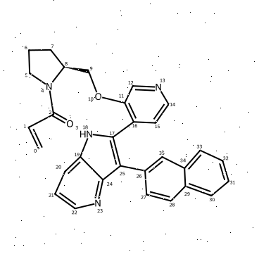 C=CC(=O)N1CCC[C@H]1COc1cnccc1-c1[nH]c2cccnc2c1-c1ccc2ccccc2c1